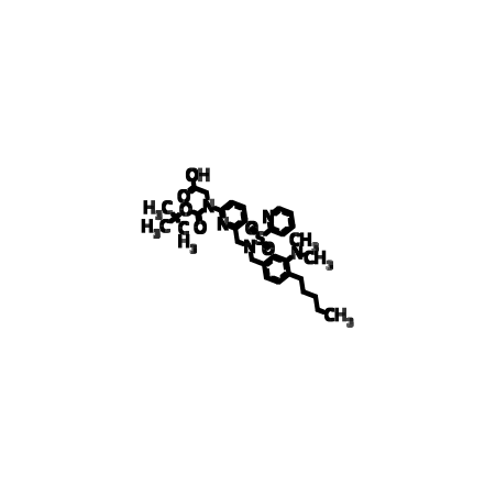 CCCCCc1ccc(CN(Cc2cccc(N(CC(=O)O)C(=O)OC(C)(C)C)n2)S(=O)(=O)c2ccccn2)cc1N(C)C